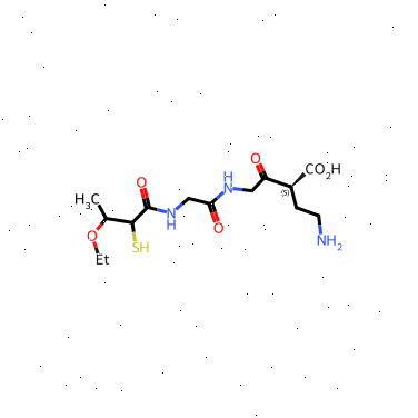 CCOC(C)C(S)C(=O)NCC(=O)NCC(=O)[C@H](CCN)C(=O)O